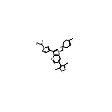 CC1=CCC(F)(Cn2cc(-c3cnn(C(F)F)c3)c3ncc(-c4c(C)noc4C)cc32)CC1